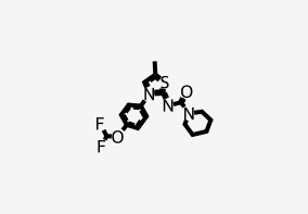 Cc1cn(-c2ccc(OC(F)F)cc2)/c(=N/C(=O)N2CCCCC2)s1